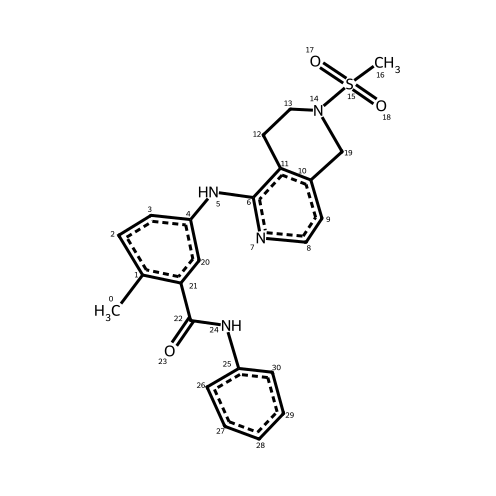 Cc1ccc(Nc2nccc3c2CCN(S(C)(=O)=O)C3)cc1C(=O)Nc1ccccc1